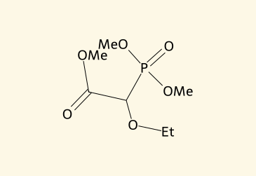 CCOC(C(=O)OC)P(=O)(OC)OC